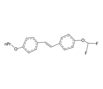 CCCOc1ccc(C=Cc2ccc(OC(F)F)cc2)cc1